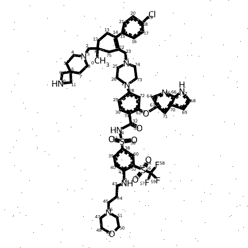 CC1(CN2CCC3(CC2)CNC3)CCC(c2ccc(Cl)cc2)=C(CN2CCN(c3ccc(C(=O)NS(=O)(=O)c4ccc(NCCCN5CCOCC5)c(S(=O)(=O)C(F)(F)F)c4)c(Oc4cnc5[nH]ccc5c4)c3)CC2)C1